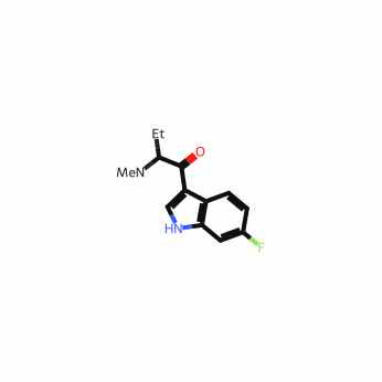 CCC(NC)C(=O)c1c[nH]c2cc(F)ccc12